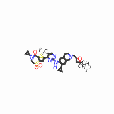 CC1(C)CC(CN2CCc3cc(Nc4ncc(C(F)(F)F)c(-c5cc6c(s5)C(=O)N(C5CC5)CCS6(=O)=O)n4)c(C4CC4)cc3C2)O1